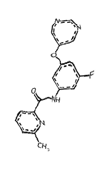 Cc1cccc(C(=O)Nc2cc(F)cc(Oc3cncnc3)c2)n1